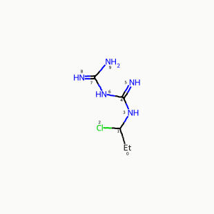 CCC(Cl)NC(=N)NC(=N)N